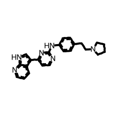 c1cnc2[nH]cc(-c3ccnc(Nc4ccc(CCN5CCCC5)cc4)n3)c2c1